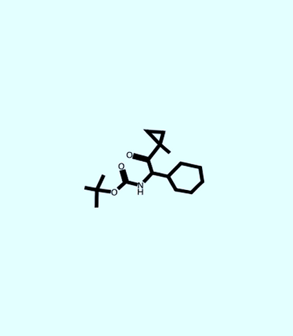 CC(C)(C)OC(=O)NC(C(=O)C1(C)CC1)C1CCCCC1